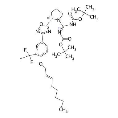 CCCCCC=CCOc1ccc(-c2noc([C@@H]3CCCN3/C(=N/C(=O)OC(C)(C)C)NC(=O)OC(C)(C)C)n2)cc1C(F)(F)F